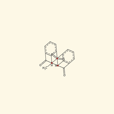 CC(Cc1c2cccc1C(=O)NC2=O)c1c2cccc1C(=O)NC2=O